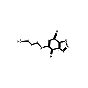 O=C1C(SCCCO)=CC(=O)c2oncc21